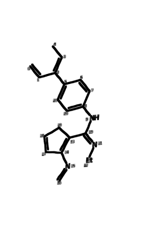 C=C/C(=C\C)c1ccc(N/C(=N/CC)C2=C(N=C)C=CC2)cc1